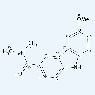 COc1ccc2[nH]c3cnc(C(=O)N(C)C)cc3c2c1